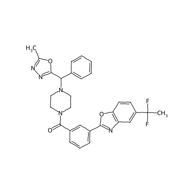 Cc1nnc(C(c2ccccc2)N2CCN(C(=O)c3cccc(-c4nc5cc(C(C)(F)F)ccc5o4)c3)CC2)o1